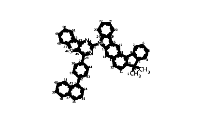 CC1(C)c2ccccc2-c2c1ccc1cc3c(cc21)c1ccccc1n3-c1nc(-c2ccc(-c3cccc4ccccc34)cc2)c2sc3ccccc3c2n1